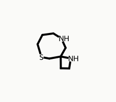 C1CNCC2(CCN2)CSC1